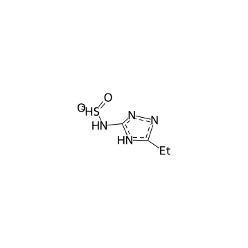 CCc1nnc(N[SH](=O)=O)[nH]1